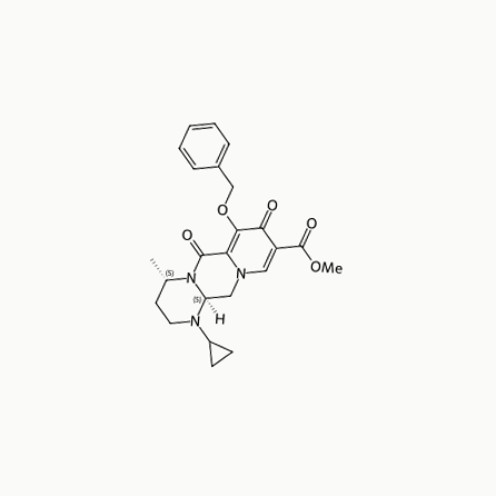 COC(=O)c1cn2c(c(OCc3ccccc3)c1=O)C(=O)N1[C@@H](C)CCN(C3CC3)[C@@H]1C2